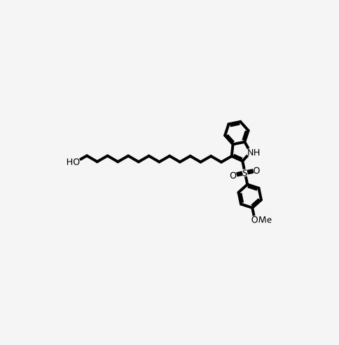 COc1ccc(S(=O)(=O)c2[nH]c3ccccc3c2CCCCCCCCCCCCCCO)cc1